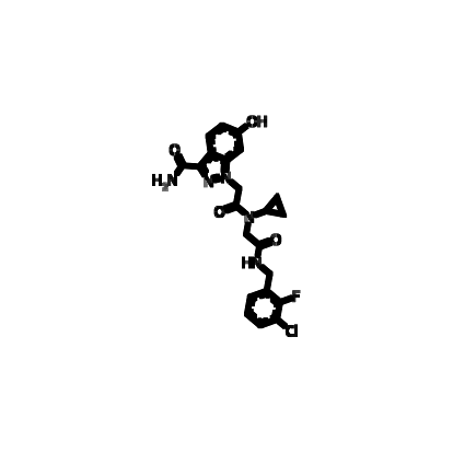 NC(=O)c1nn(CC(=O)N(CC(=O)NCc2cccc(Cl)c2F)C2CC2)c2cc(O)ccc12